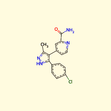 Cc1n[nH]c(-c2ccc(Cl)cc2)c1-c1ccnc(C(N)=O)c1